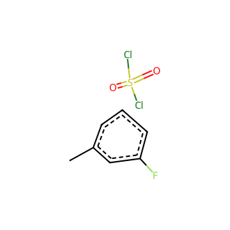 Cc1cccc(F)c1.O=S(=O)(Cl)Cl